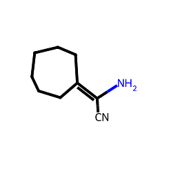 N#CC(N)=C1CCCCCC1